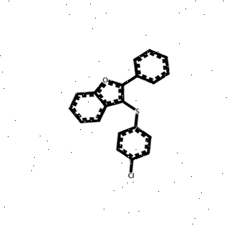 Clc1ccc(Sc2c(-c3ccccc3)oc3ccccc23)cc1